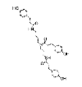 O=C(C=Cc1ccc(O)cc1)NCCCCN(CCCNC(=O)C=Cc1ccc(O)cc1)C(=O)C=Cc1ccc(O)cc1